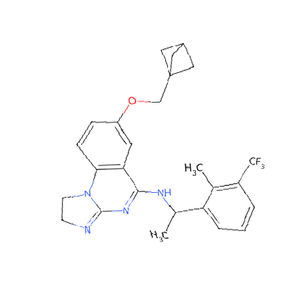 Cc1c(C(C)NC2=NC3=NCCN3c3ccc(OCC45CC(C4)C5)cc32)cccc1C(F)(F)F